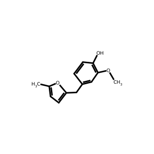 COc1cc(Cc2ccc(C)o2)ccc1O